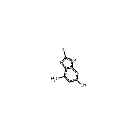 CCc1nc2c(C)cc(C#N)nc2[nH]1